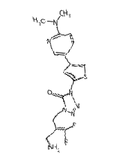 CN(C)c1ccc(-c2csc(-n3nnn(CC(CN)=C(F)F)c3=O)c2)cn1